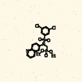 CCOP(=O)(CN(c1ccc2ncccc2c1)S(=O)(=O)c1cc(Cl)cc(Cl)c1)OCC